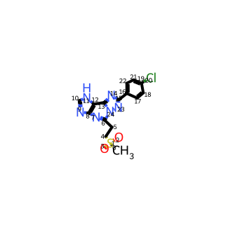 CS(=O)(=O)CCc1nc2nc[nH]c2c2nc(-c3ccc(Cl)cc3)nn12